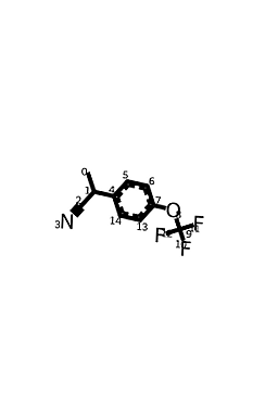 CC(C#N)c1ccc(OC(F)(F)F)cc1